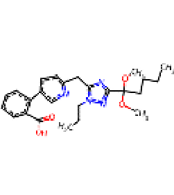 CCCCC(OC)(OC)c1nc(Cc2ccc(-c3ccccc3C(=O)O)cn2)n(CCC)n1